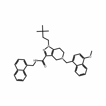 COc1ccc(CN2CCc3c(c(C(=O)NCc4cccc5ccccc45)nn3CCC(C)(C)C)C2)c2ccccc12